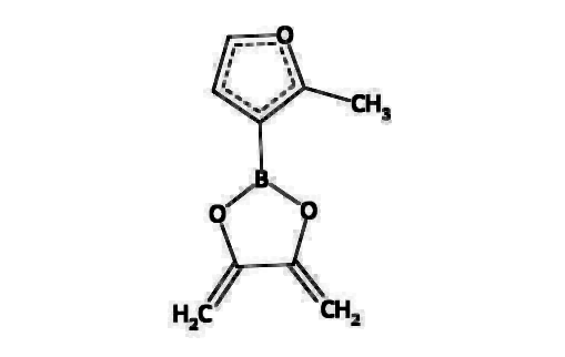 C=C1OB(c2ccoc2C)OC1=C